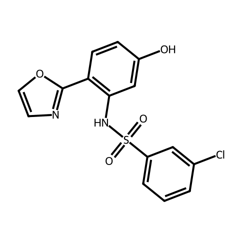 O=S(=O)(Nc1cc(O)ccc1-c1ncco1)c1cccc(Cl)c1